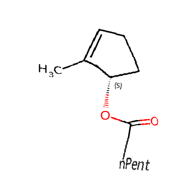 CCCCCC(=O)O[C@H]1CCC=C1C